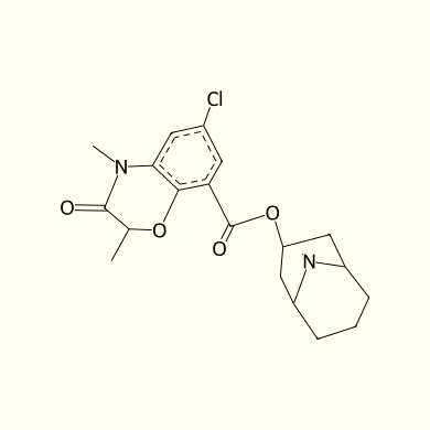 CC1Oc2c(C(=O)OC3CC4CCCC(C3)N4C)cc(Cl)cc2N(C)C1=O